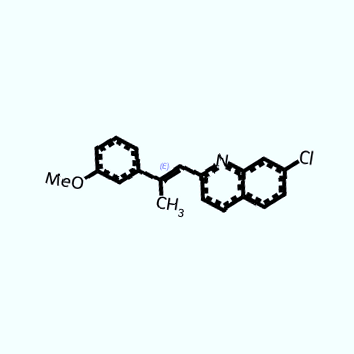 COc1cccc(/C(C)=C/c2ccc3ccc(Cl)cc3n2)c1